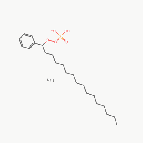 CCCCCCCCCCCCCCCC(OOP(=O)(O)O)c1ccccc1.[NaH]